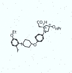 CCCO[C@@H]1C[C@H](CC(=O)O)N(c2ccc(OC3CCN(c4cc(OCC)ccc4F)CC3)cc2)C1